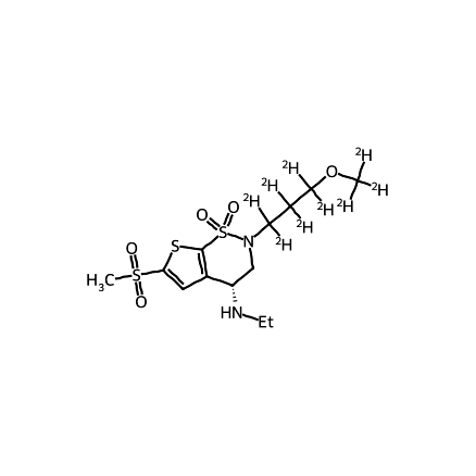 [2H]C([2H])([2H])OC([2H])([2H])C([2H])([2H])C([2H])([2H])N1C[C@H](NCC)c2cc(S(C)(=O)=O)sc2S1(=O)=O